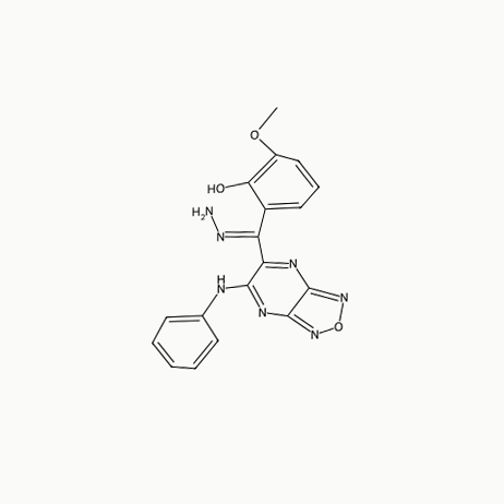 COc1cccc(C(=NN)c2nc3nonc3nc2Nc2ccccc2)c1O